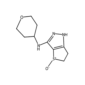 [O-][S+]1CCc2[nH]nc(NC3CCOCC3)c21